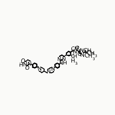 Cc1cc(-c2ccnc(Nc3ccc(N4CCN(CC5CCN(c6ccc(N7CCC(=O)NC7=O)cc6)CC5)CC4)cc3)n2)ccc1[C@@H](C)NC(=O)c1nc(C(C)(C)C)no1